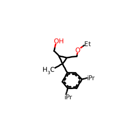 CCOCC1C(CO)C1(C)c1cc(C(C)C)cc(C(C)C)c1